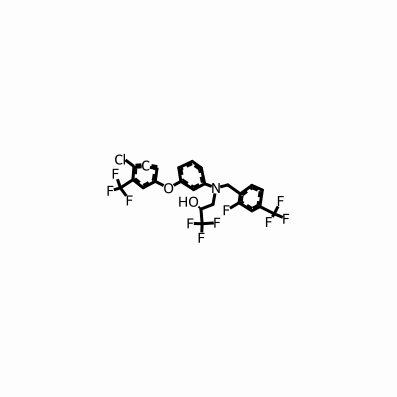 O[C@H](CN(Cc1ccc(C(F)(F)F)cc1F)c1cccc(Oc2ccc(Cl)c(C(F)(F)F)c2)c1)C(F)(F)F